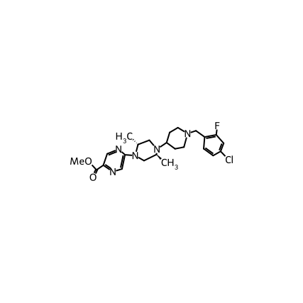 COC(=O)c1cnc(N2C[C@H](C)N(C3CCN(Cc4ccc(Cl)cc4F)CC3)C[C@H]2C)cn1